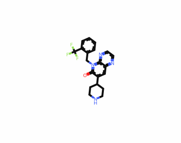 O=c1c(C2CCNCC2)cc2nccnc2n1Cc1ccccc1C(F)(F)F